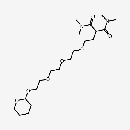 CN(C)C(=O)C(CCOCCOCCOCCOC1CCCCO1)C(=O)N(C)C